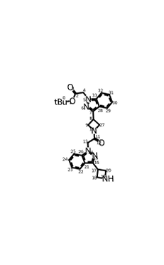 CC(C)(C)OC(=O)Cn1nc(C2CN(C(=O)Cn3nc(C4CNC4)c4ccccc43)C2)c2ccccc21